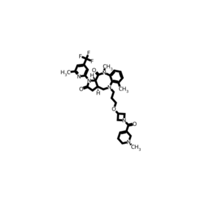 Cc1cc(C(F)(F)F)cc(N2C(=O)C[C@@H]3CN(CCCOC4CN(C(=O)C5=CCCN(C)C5)C4)c4c(C)cccc4N(C)C(=O)[C@H]32)n1